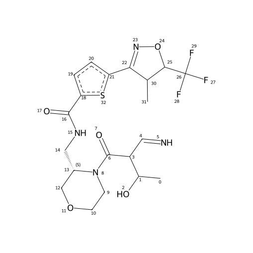 CC(O)C(C=N)C(=O)N1CCOC[C@@H]1CNC(=O)c1ccc(C2=NOC(C(F)(F)F)C2C)s1